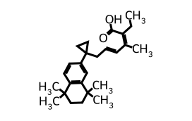 CCC(C(=O)O)=C(C)C=CCC1(c2ccc3c(c2)C(C)(C)CCC3(C)C)CC1